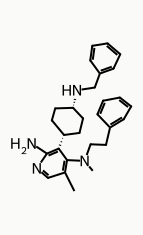 Cc1cnc(N)c([C@H]2CC[C@@H](NCc3ccccc3)CC2)c1N(C)CCc1ccccc1